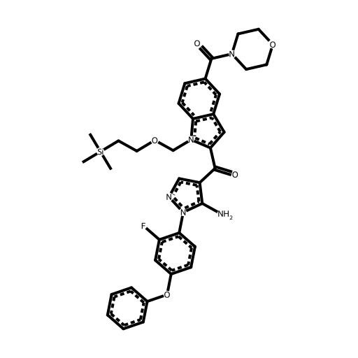 C[Si](C)(C)CCOCn1c(C(=O)c2cnn(-c3ccc(Oc4ccccc4)cc3F)c2N)cc2cc(C(=O)N3CCOCC3)ccc21